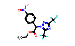 CCOC(=O)C(c1ccc([N+](=O)[O-])cc1)n1nc(C(F)(F)F)nc1C(F)(F)F